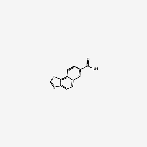 O=C(O)c1ccc2c(ccc3ncoc32)c1